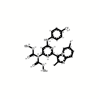 Cc1nc2ccc(F)cn2c1-c1nc(Nc2ccc(C(F)(F)F)cc2)cc(N(C(=O)OC(C)(C)C)C(=O)OC(C)(C)C)n1